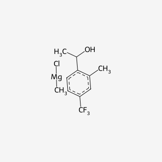 Cc1cc(C(F)(F)F)ccc1C(C)O.[CH3][Mg][Cl]